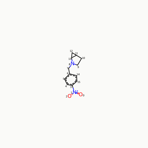 O=[N+]([O-])c1ccc(CN2CCC3CC32)cc1